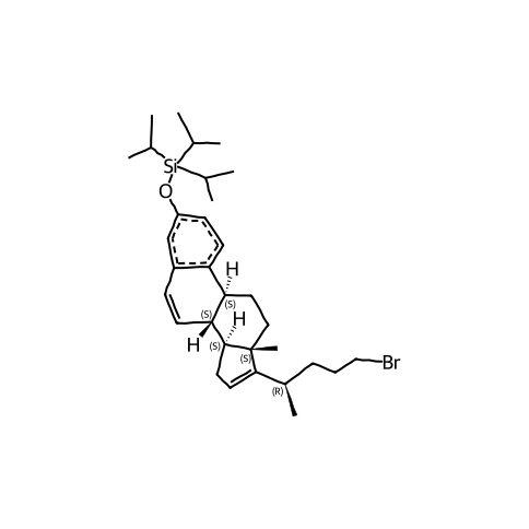 CC(C)[Si](Oc1ccc2c(c1)C=C[C@@H]1[C@@H]2CC[C@]2(C)C([C@H](C)CCCBr)=CC[C@@H]12)(C(C)C)C(C)C